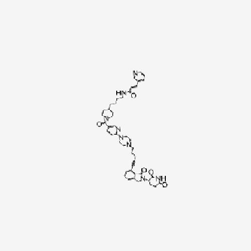 O=C(/C=C/c1cccnc1)NCCCCC1CCN(C(=O)c2ccc(N3CCN(CCCC#Cc4cccc5c4C(=O)N(C4CCC(=O)NC4=O)C5)CC3)nc2)CC1